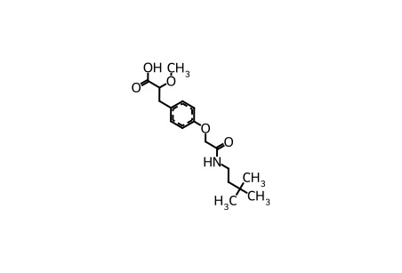 COC(Cc1ccc(OCC(=O)NCCC(C)(C)C)cc1)C(=O)O